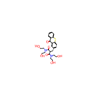 O=C(C(Cc1ccc2sc3ccccc3c(=O)c2c1)C(=O)N(CCO)CCO)N(CCO)CCO